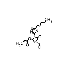 C=CC(=O)OC1CN(CC)C(=O)N1c1nnc(CCCCC)s1